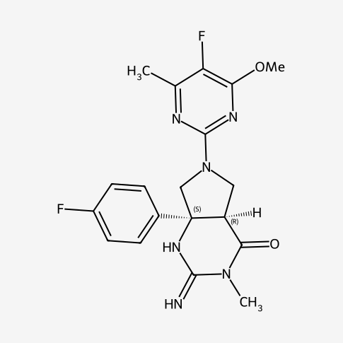 COc1nc(N2C[C@H]3C(=O)N(C)C(=N)N[C@@]3(c3ccc(F)cc3)C2)nc(C)c1F